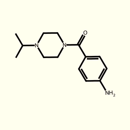 CC(C)N1CCN(C(=O)c2ccc(N)cc2)CC1